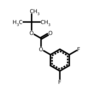 CC(C)(C)OC(=O)Oc1cc(F)cc(F)c1